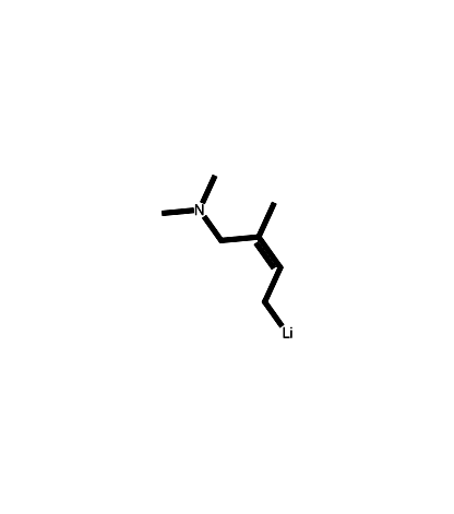 [Li][CH2]C=C(C)CN(C)C